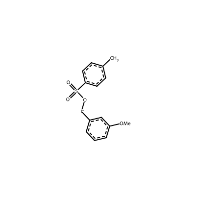 COc1cccc([I+]OS(=O)(=O)c2ccc(C)cc2)c1